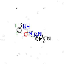 C[C@H]1CC2CN(C(=O)CCNC3(c4ccc(F)cc4F)CC3)CC1N2c1ccc(C#N)cn1